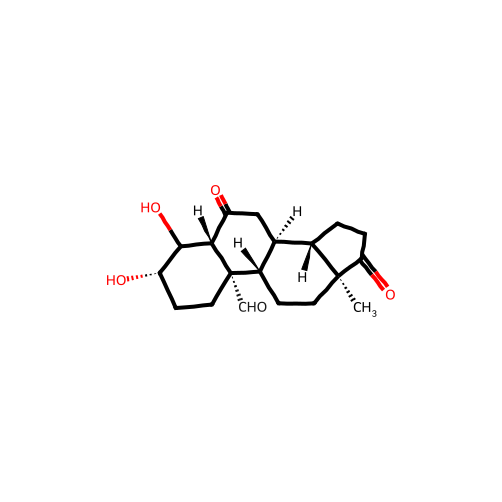 C[C@]12CC[C@H]3[C@@H](CC(=O)[C@H]4C(O)[C@@H](O)CC[C@@]43C=O)[C@@H]1CCC2=O